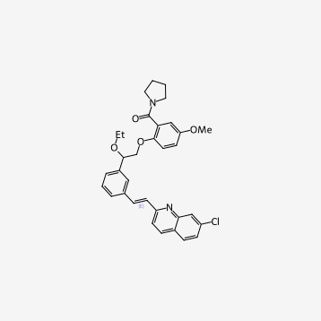 CCOC(COc1ccc(OC)cc1C(=O)N1CCCC1)c1cccc(/C=C/c2ccc3ccc(Cl)cc3n2)c1